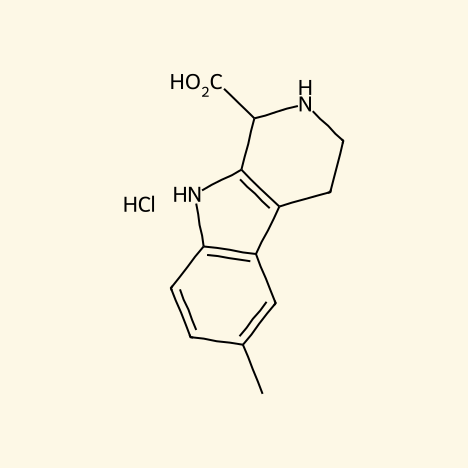 Cc1ccc2[nH]c3c(c2c1)CCNC3C(=O)O.Cl